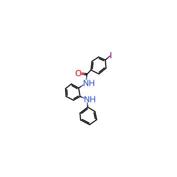 O=C(Nc1ccccc1Nc1ccccc1)c1ccc(I)cc1